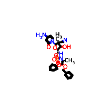 C[C@H](NP(=O)(OC[C@H]1O[C@@H](n2ccc(N)cc2=O)[C@](C)(C#N)C1O)Oc1ccccc1)C(=O)OCc1ccccc1